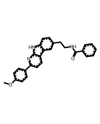 COc1ccc(-c2ccc3c(n2)[nH]c2ccc(CCNC(=O)c4ccccc4)cc23)cc1